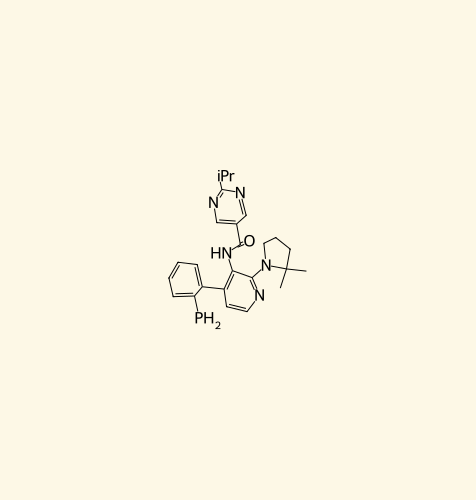 CC(C)c1ncc(C(=O)Nc2c(-c3ccccc3P)ccnc2N2CCCC2(C)C)cn1